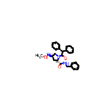 CO/N=C1\C[C@@H](C(=O)NCc2ccccc2)N(C(=O)C(c2ccccc2)c2ccccc2)C1